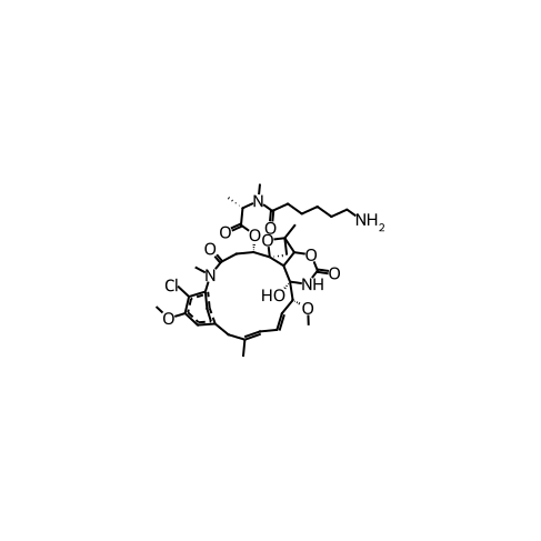 COc1cc2cc(c1Cl)N(C)C(=O)C[C@H](OC(=O)[C@H](C)N(C)C(=O)CCCCCN)[C@@]13CC(C)(O1)C1OC(=O)N[C@](O)(C13)[C@H](OC)/C=C/C=C(\C)C2